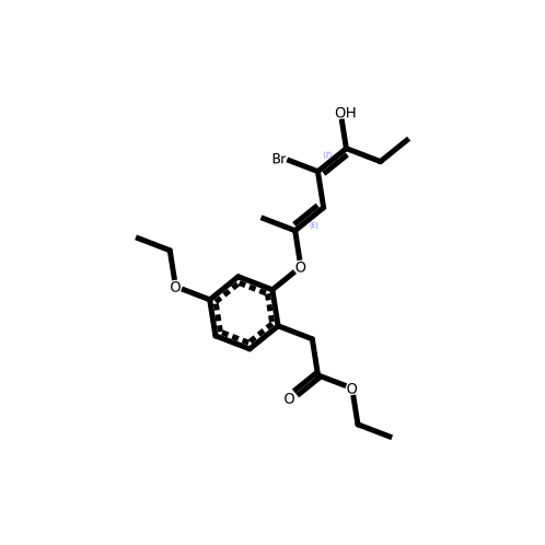 CCOC(=O)Cc1ccc(OCC)cc1O/C(C)=C/C(Br)=C(/O)CC